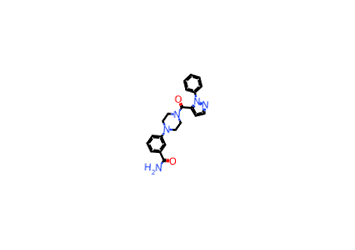 NC(=O)c1cccc(N2CCN(C(=O)c3ccnn3-c3ccccc3)CC2)c1